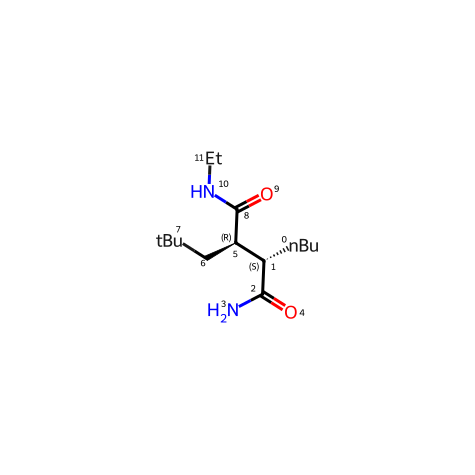 CCCC[C@H](C(N)=O)[C@@H](CC(C)(C)C)C(=O)NCC